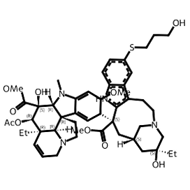 CC[C@]1(O)C[C@H]2CN(CCc3c([nH]c4ccc(SCCCO)cc34)[C@@](C(=O)OC)(C3C=C4C(=CC3OC)N(C)[C@H]3[C@@](O)(C(=O)OC)[C@H](OC(C)=O)[C@]5(CC)C=CCN6CC[C@]43[C@@H]65)C2)C1